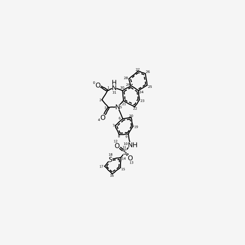 O=C1CC(=O)N(c2ccc(NS(=O)(=O)c3cccs3)cc2)c2ccc3ccccc3c2N1